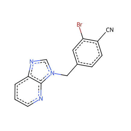 N#Cc1ccc(Cn2cnc3cccnc32)cc1Br